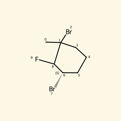 CC1(Br)CCC[C@H](Br)C1F